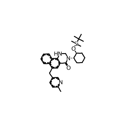 Cc1ccc(Cc2cc3c(c4ccccc24)NCN([C@H]2CCCC[C@@H]2O[Si](C)(C)C(C)(C)C)C3=O)cn1